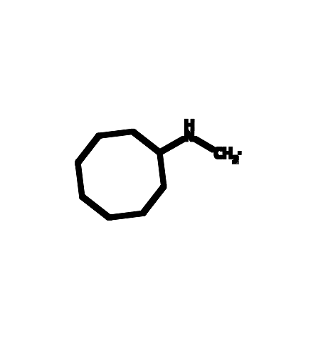 [CH2]NC1CCCCCCC1